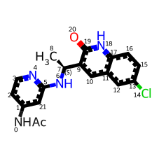 CC(=O)Nc1ccnc(N[C@@H](C)c2cc3cc(Cl)ccc3[nH]c2=O)c1